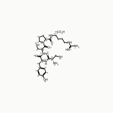 N=C(N)NCCC[C@H](NC(=O)[C@@H]1CCCN1C(=O)[C@H](CS)NC(=O)[C@H](Cc1ccc(O)cc1)NC(=O)[C@@H](N)CS)C(=O)O